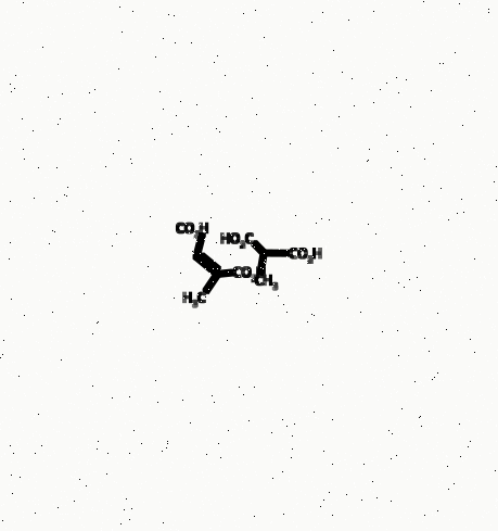 C/C(=C/C(=O)O)C(=O)O.CC(C(=O)O)C(=O)O